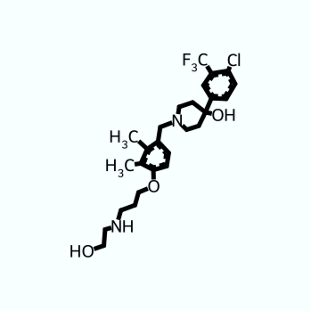 Cc1c(CN2CCC(O)(c3ccc(Cl)c(C(F)(F)F)c3)CC2)ccc(OCCCNCCO)c1C